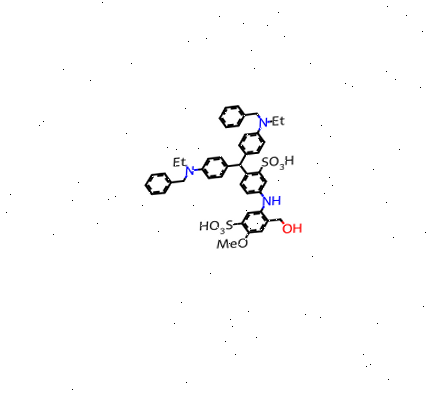 CCN(Cc1ccccc1)c1ccc(C(c2ccc(N(CC)Cc3ccccc3)cc2)c2ccc(Nc3cc(S(=O)(=O)O)c(OC)cc3CO)cc2S(=O)(=O)O)cc1